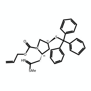 C=CCOC(=O)N1C[C@@H](SC(c2ccccc2)(c2ccccc2)c2ccccc2)C[C@@H]1CC(=N)SC